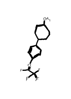 CC1CCC(c2cc[c]([Cf]=[C](F)C(F)(F)F)cc2)CC1